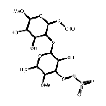 COC1OC(OC=O)C(OC2OC(C)C(OC)C(OO[SH](=O)=O)C2O)C(O)C1O